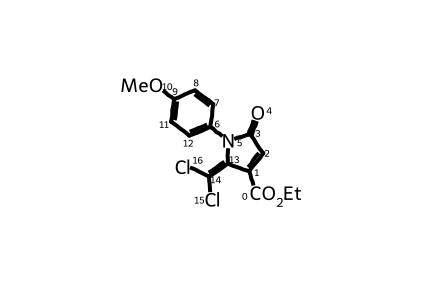 CCOC(=O)C1=CC(=O)N(c2ccc(OC)cc2)C1=C(Cl)Cl